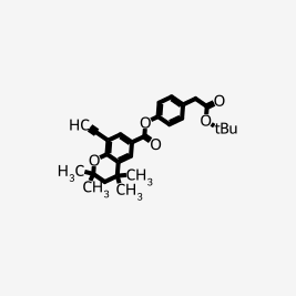 C#Cc1cc(C(=O)Oc2ccc(CC(=O)OC(C)(C)C)cc2)cc2c1OC(C)(C)CC2(C)C